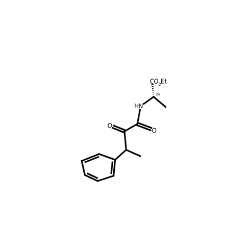 CCOC(=O)[C@H](C)NC(=O)C(=O)C(C)c1ccccc1